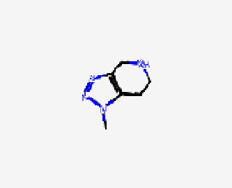 Cn1nnc2c1CCNC2